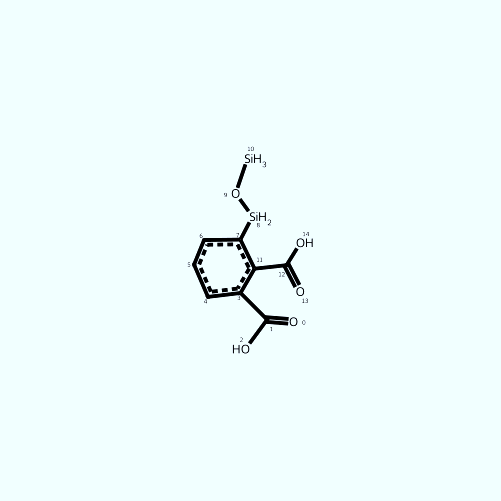 O=C(O)c1cccc([SiH2]O[SiH3])c1C(=O)O